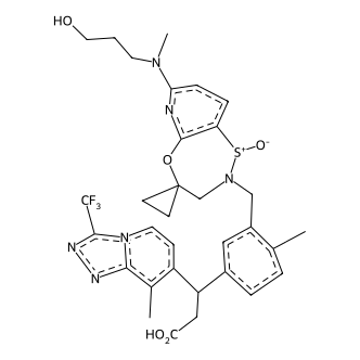 Cc1ccc(C(CC(=O)O)c2ccn3c(C(F)(F)F)nnc3c2C)cc1CN1CC2(CC2)Oc2nc(N(C)CCCO)ccc2[S+]1[O-]